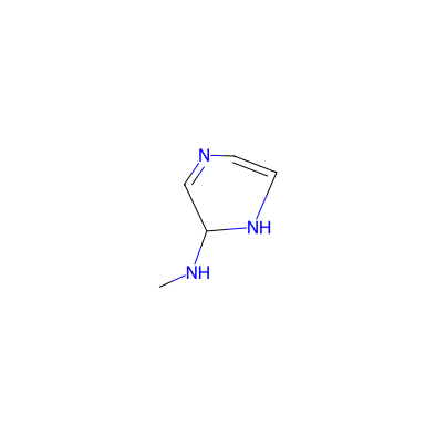 CNC1C=NC=CN1